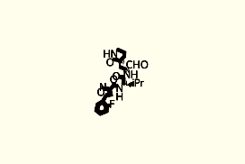 CC(C)C[C@H](NC(=O)c1cc(-c2ccccc2F)on1)C(=O)N[C@H](C=O)C[C@@H]1CCCNC1=O